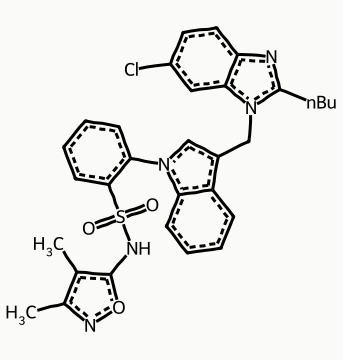 CCCCc1nc2ccc(Cl)cc2n1Cc1cn(-c2ccccc2S(=O)(=O)Nc2onc(C)c2C)c2ccccc12